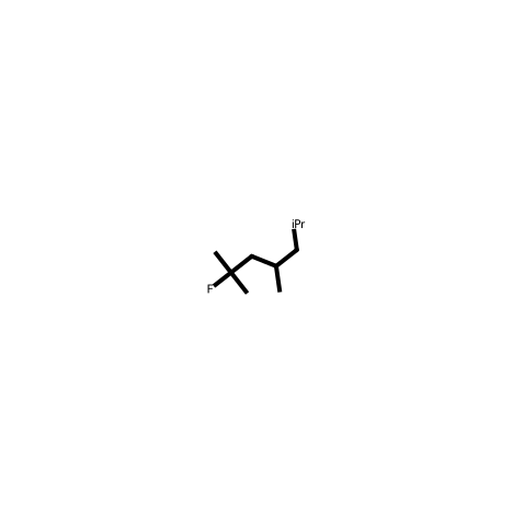 CC(C)CC(C)CC(C)(C)F